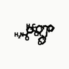 C[C@H]1CN(Cc2cccn2CCN2CCOCC2)CC[C@@]1(C)c1cccc(C(N)=O)c1